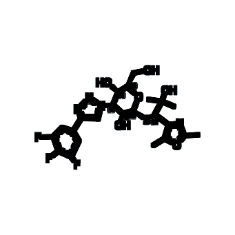 Cc1nc([C@H](S[C@@H]2O[C@H](CO)[C@H](O)[C@H](n3cc(-c4cc(F)c(F)c(F)c4)nn3)[C@H]2O)C(C)(C)O)c(C)o1